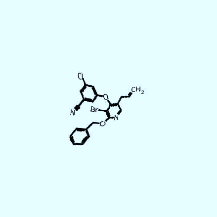 C=CCc1cnc(OCc2ccccc2)c(Br)c1Oc1cc(Cl)cc(C#N)c1